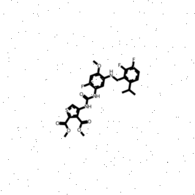 COC(=O)c1scc(NC(=O)Nc2cc(NCc3c(C(C)C)ccc(F)c3F)c(OC)cc2F)c1C(=O)OC